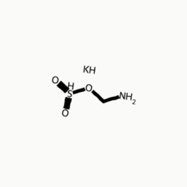 NCO[SH](=O)=O.[KH]